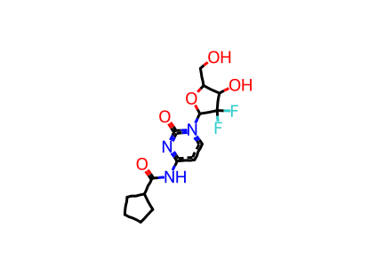 O=C(Nc1ccn(C2OC(CO)C(O)C2(F)F)c(=O)n1)C1CCCC1